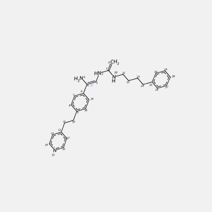 C=C(N/C=C(\N)c1ccc(CCc2ccncc2)cc1)NCCCCc1ccccc1